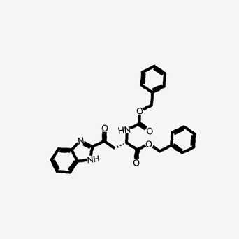 O=C(N[C@@H](CC(=O)c1nc2ccccc2[nH]1)C(=O)OCc1ccccc1)OCc1ccccc1